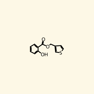 O=C(OCc1ccsc1)c1ccccc1O